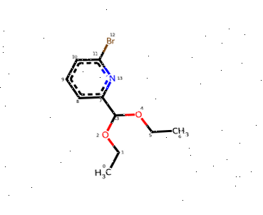 CCOC(OCC)c1cccc(Br)n1